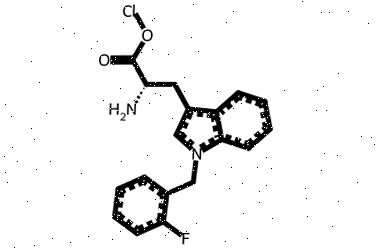 N[C@@H](Cc1cn(Cc2ccccc2F)c2ccccc12)C(=O)OCl